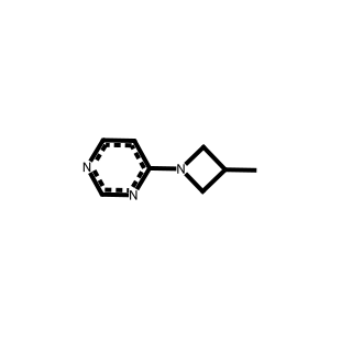 CC1CN(c2ccncn2)C1